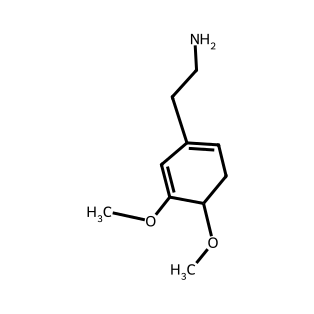 COC1=CC(CCN)=CCC1OC